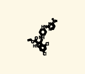 CCOC(=O)c1[nH]c2cc(Cl)cc(Cl)c2c1CN[C@H]1CC[C@@H](Nc2nccc(N(C)C)n2)CC1